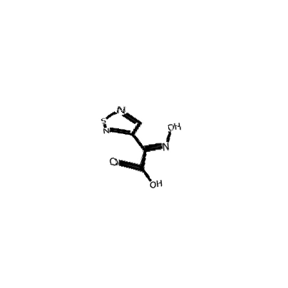 O=C(O)/C(=N/O)c1cnsn1